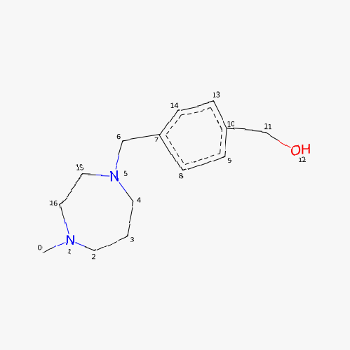 CN1CCCN(Cc2ccc(CO)cc2)CC1